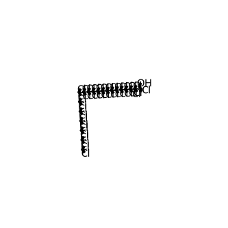 ClCCl.ClCCl.ClCCl.ClCCl.ClCCl.ClCCl.ClCCl.ClCCl.ClCCl.ClCCl.ClCCl.ClCCl.ClCCl.ClCCl.ClCCl.ClCCl.ClCCl.ClCCl.ClCCl.OCC(Cl)Cl